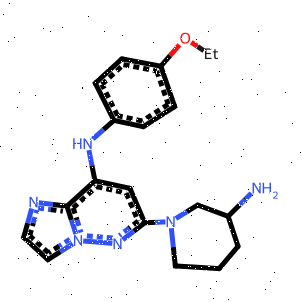 CCOc1ccc(Nc2cc(N3CCCC(N)C3)nn3ccnc23)cc1